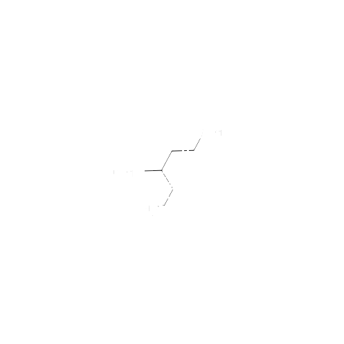 CCCCCCCCCC([CH2][AlH2])CCCCCCC